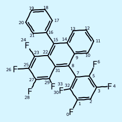 Fc1cc(F)c(F)c(-c2c3ccccc3c(-c3ccccc3)c3c(F)c(F)c(F)c(F)c23)c1F